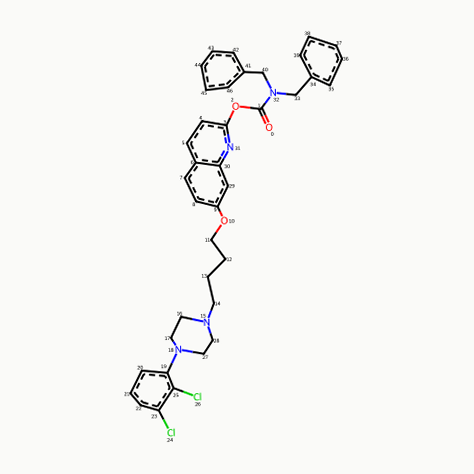 O=C(Oc1ccc2ccc(OCCCCN3CCN(c4cccc(Cl)c4Cl)CC3)cc2n1)N(Cc1ccccc1)Cc1ccccc1